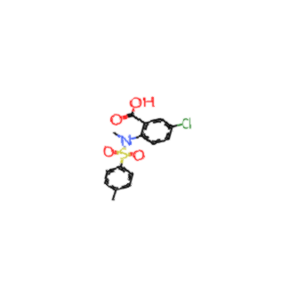 Cc1ccc(S(=O)(=O)N(C)c2ccc(Cl)cc2C(=O)O)cc1